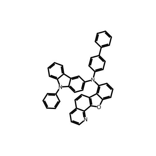 c1ccc(-c2ccc(N(c3ccc4c(c3)c3ccccc3n4-c3ccccc3)c3cccc4oc5c(ccc6cccnc65)c34)cc2)cc1